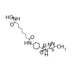 Cc1nnc(NS(=O)(=O)c2ccc(NC(=O)CCCCCCC(=O)NO)cc2)s1